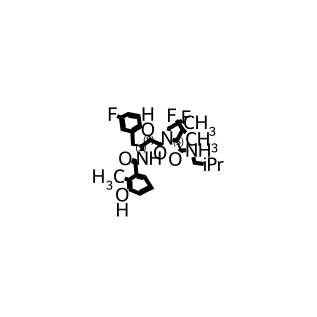 Cc1c(O)cccc1C(=O)N[C@@H](Cc1cccc(F)c1)[C@H](O)C(=O)N1CC(F)(F)C(C)(C)[C@H]1C(=O)NCC(C)C